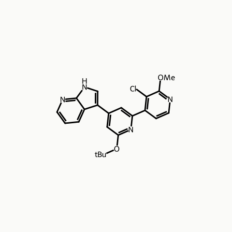 COc1nccc(-c2cc(-c3c[nH]c4ncccc34)cc(OC(C)(C)C)n2)c1Cl